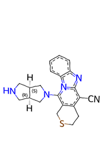 N#Cc1c2c(c(N3C[C@H]4CNC[C@H]4C3)n3c1nc1ccccc13)CSCC2